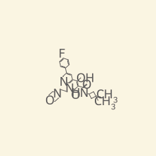 CC1(C)CC(NC(=O)c2c(O)c3cc(-c4ccc(F)cc4)cnc3n(CCN3CCOCC3)c2=O)C1